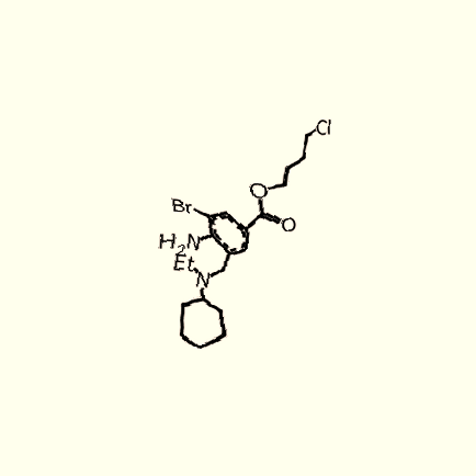 CCN(Cc1cc(C(=O)OCCCCCl)cc(Br)c1N)C1CCCCC1